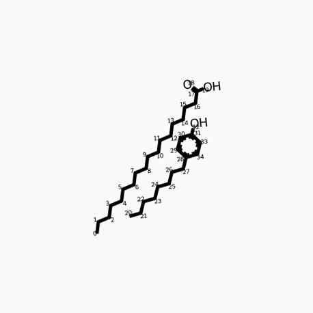 CCCCCCCCCCCCCCCCCC(=O)O.CCCCCCCCc1ccc(O)cc1